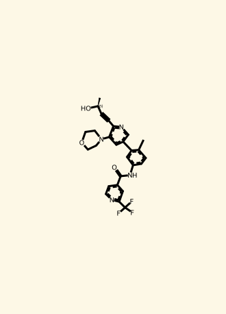 Cc1ccc(NC(=O)c2ccnc(C(F)(F)F)c2)cc1-c1cnc(C#C[C@H](C)O)c(N2CCOCC2)c1